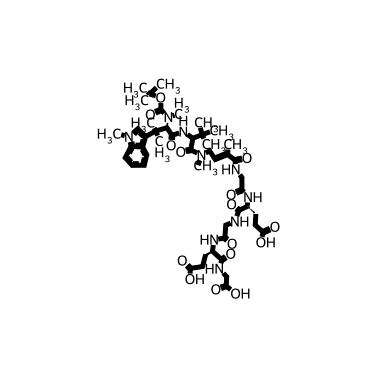 C/C(=C\CN(C)C(=O)C(NC(=O)[C@@H](N(C)C(=O)OC(C)(C)C)C(C)(C)c1cn(C)c2ccccc12)C(C)(C)C)C(=O)NCC(=O)N[C@H](CCC(=O)O)C(=O)NCC(=O)N[C@H](CCC(=O)O)C(=O)NCC(=O)O